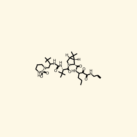 C=CCNC(=O)C(=O)C(CCC)NC(=O)[C@@H]1[C@@H]2[C@H](CN1C(=O)[C@@H](NC(=O)NC(CN1CCCNS1(=O)=O)C(C)(C)C)C(C)(C)C)C2(C)C